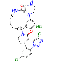 Cl.O=C1NCCCCC[C@H](N2CCC(c3cc(Cl)ccc3-n3cc(Cl)nn3)=CC2=O)c2cccc(c2)N2CCNC[C@H]12